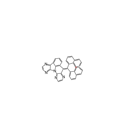 c1ccc2c(C(c3cccc4ccccc34)=c3c4cccc5c6nccnc6n(c6nccnc36)c45)cccc2c1